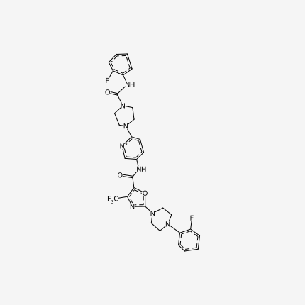 O=C(Nc1ccc(N2CCN(C(=O)Nc3ccccc3F)CC2)nc1)c1oc(N2CCN(c3ccccc3F)CC2)nc1C(F)(F)F